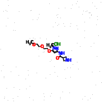 COCCOCCOc1cc(NC(=O)C2CNC2)nn1C.Cl